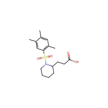 Cc1cc(C)c(S(=O)(=O)N2CCCCC2CCC(=O)O)cc1C